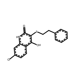 O=c1[nH]c2cc(Cl)ccc2c(O)c1SCCc1ccccc1